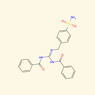 NS(=O)(=O)c1ccc(CN=C(NC(=O)c2ccccc2)NC(=O)c2ccccc2)cc1